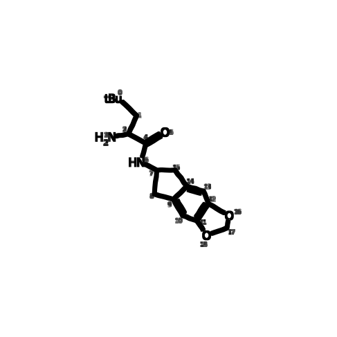 CC(C)(C)CC(N)C(=O)NC1Cc2cc3c(cc2C1)OCO3